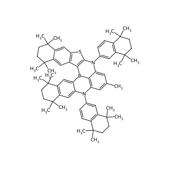 Cc1cc2c3c(c1)N(c1ccc4c(c1)C(C)(C)CCC4(C)C)c1sc4cc5c(cc4c1B3c1cc3c(cc1N2c1ccc2c(c1)C(C)(C)CCC2(C)C)C(C)(C)CCC3(C)C)C(C)(C)CCC5(C)C